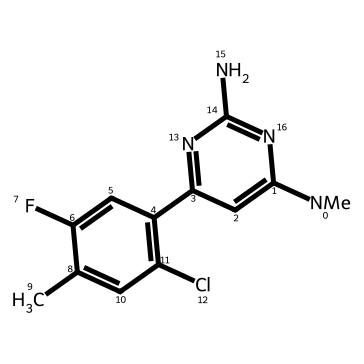 CNc1cc(-c2cc(F)c(C)cc2Cl)nc(N)n1